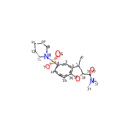 CC1c2cc(S(=O)(=O)N3CCCCC3)ccc2OC1C(=O)N(C)C